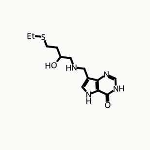 CCSCCC(O)CNCc1c[nH]c2c(=O)[nH]cnc12